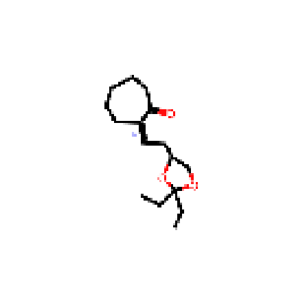 CCC1(CC)OCC(C/C=C2/CCCCCC2=O)O1